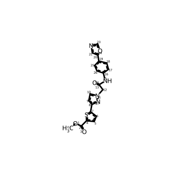 COC(=O)c1ccc(-c2ccn(CC(=O)Nc3ccc(-c4cnco4)cc3)n2)s1